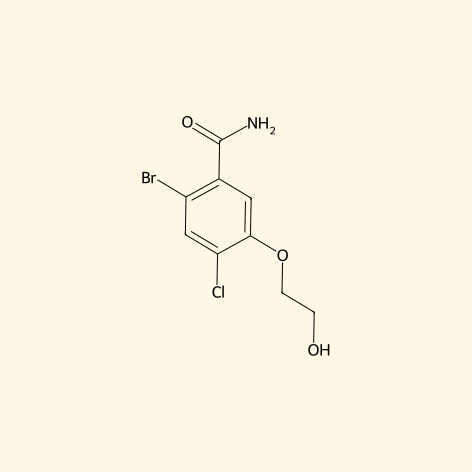 NC(=O)c1cc(OCCO)c(Cl)cc1Br